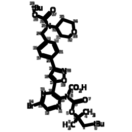 CC(C)(C)CC(C)(C)OC(=O)N(C(=O)O)c1ncc(Br)nc1-c1cc(-c2ccc(CN(C(=O)OC(C)(C)C)C3CCOCC3)cc2)no1